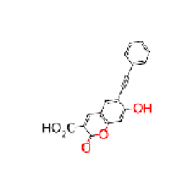 O=C(O)c1cc2cc(C#Cc3ccccc3)c(O)cc2oc1=O